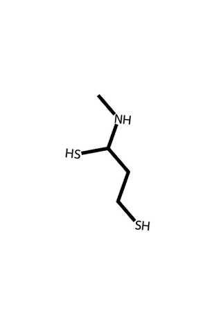 CNC(S)CCS